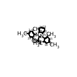 Cc1cc(C)c(-n2c(C(=O)[O-])[n+](-c3c(C)cc(C)cc3C)c3ccccc32)c(C)c1